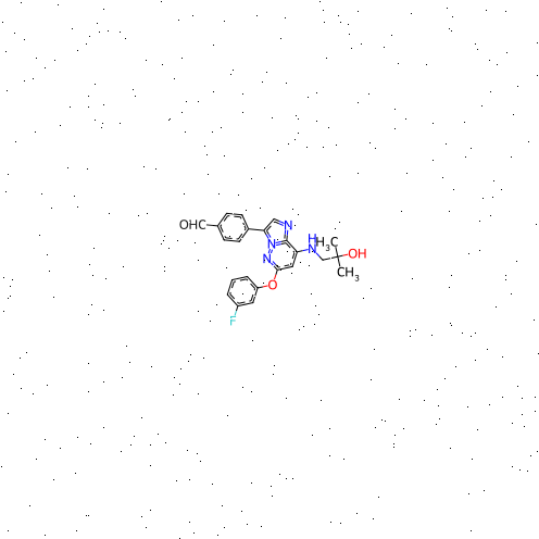 CC(C)(O)CNc1cc(Oc2cccc(F)c2)nn2c(-c3ccc(C=O)cc3)cnc12